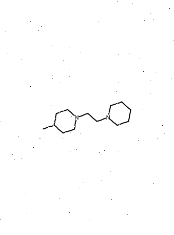 CC1CCN(CCN2CCCCC2)CC1